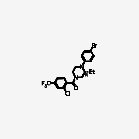 CC[C@@H]1CN(C(=O)c2ccc(C(F)(F)F)cc2Cl)CCN1c1ccc(Br)cc1